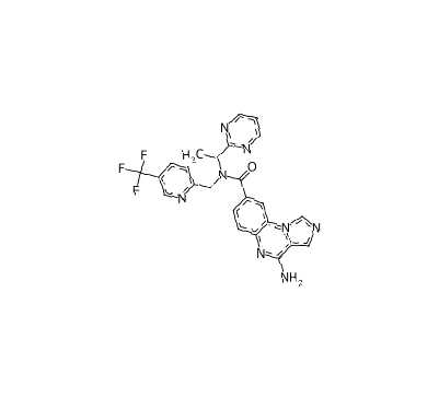 CC(c1ncccn1)N(Cc1ccc(C(F)(F)F)cn1)C(=O)c1ccc2nc(N)c3cncn3c2c1